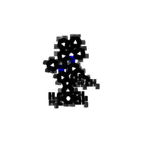 CCCCc1cc2c3c(c1)N1c4ccccc4C(c4ccccc4)(c4ccccc4)c4cccc(c41)B3N(c1ccccc1)c1ccc3c(c1-2)C(C)(C)c1cc2c(cc1-3)C(C)(C)CCC2(C)C